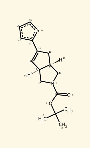 CC(C)(C)OC(=O)N1C[C@@H]2CC(c3cccs3)=C[C@@H]2C1